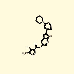 Cc1[nH]nc(C(=O)Nc2cnc3[nH]c(-c4ccnc(N5CCCCC5)c4)cc3c2)c1C